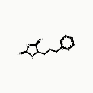 O=C1NC(=S)SC1CCCc1ccccc1